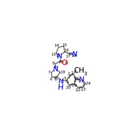 Cc1cc(N[C@@H]2CCN(CC(=O)N3CCCC3C#N)C2)cc2cccnc12